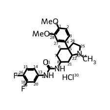 COc1ccc(C23CCC(NC(=O)Nc4ccc(F)c(F)c4)CC2N(C)CC3)cc1OC.Cl